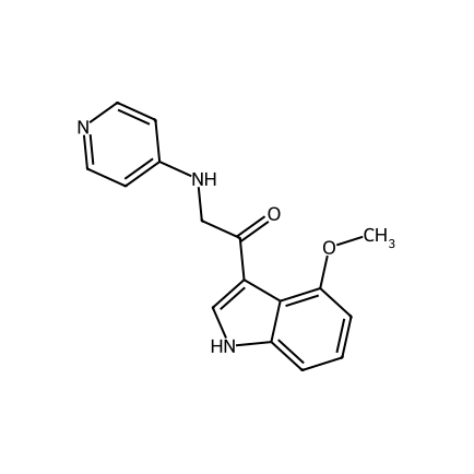 COc1cccc2[nH]cc(C(=O)CNc3ccncc3)c12